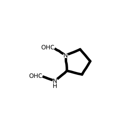 O=CNC1CCCN1C=O